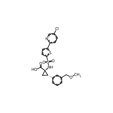 COCc1cccc([C@@H]2C[C@]2(NS(=O)(=O)c2ccc(-c3ccc(Cl)cn3)s2)C(=O)O)c1